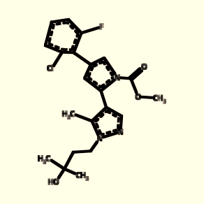 COC(=O)n1cc(-c2c(F)cccc2Cl)cc1-c1cnn(CCC(C)(C)O)c1C